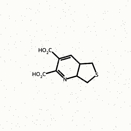 O=C(O)C1=CC2CSCC2N=C1C(=O)O